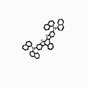 C1=CC2C=CC=C(N(c3ccc4c(c3)sc3c5sc6cc(N(c7cccc8ccccc78)c7cccc8ccccc78)ccc6c5c5ccccc5c43)c3cccc4ccccc34)C2C=C1